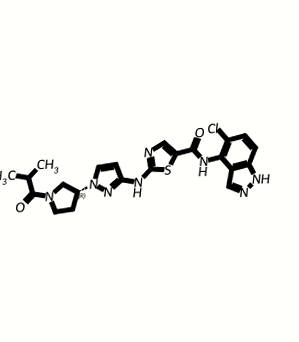 CC(C)C(=O)N1CC[C@@H](n2ccc(Nc3ncc(C(=O)Nc4c(Cl)ccc5[nH]ncc45)s3)n2)C1